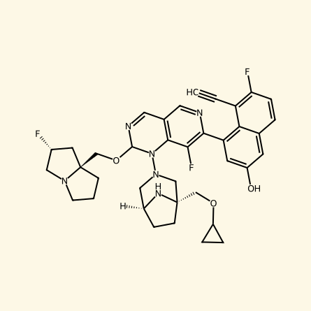 C#Cc1c(F)ccc2cc(O)cc(-c3ncc4c(c3F)N(N3C[C@@H]5CC[C@](COC6CC6)(C3)N5)C(OC[C@@]35CCCN3C[C@H](F)C5)N=C4)c12